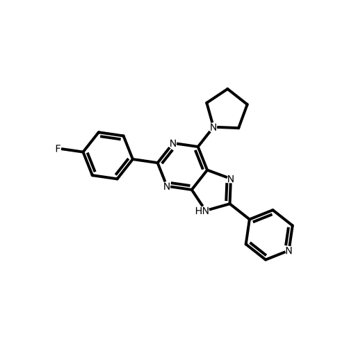 Fc1ccc(-c2nc(N3CCCC3)c3nc(-c4ccncc4)[nH]c3n2)cc1